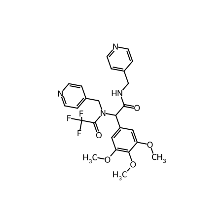 COc1cc(C(C(=O)NCc2ccncc2)N(Cc2ccncc2)C(=O)C(F)(F)F)cc(OC)c1OC